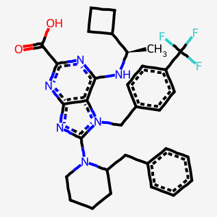 C[C@@H](Nc1nc(C(=O)O)nc2nc(N3CCCCC3Cc3ccccc3)n(Cc3ccc(C(F)(F)F)cc3)c12)C1CCC1